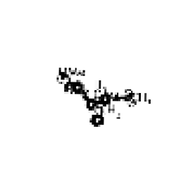 COC(=O)C[C@@H]1COc2cc(OCc3ccc(Oc4ccccc4)c(-c4c(C)cc(OCCCS(C)(=O)=O)cc4C)c3)ccc21